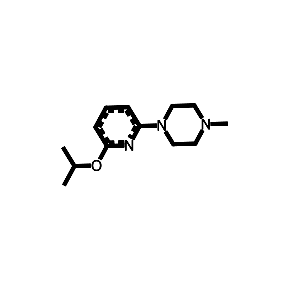 CC(C)Oc1cccc(N2CCN(C)CC2)n1